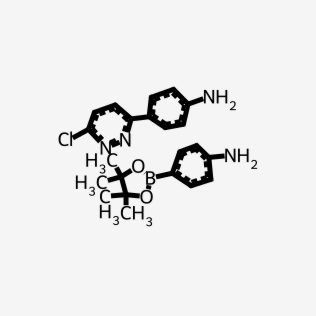 CC1(C)OB(c2ccc(N)cc2)OC1(C)C.Nc1ccc(-c2ccc(Cl)nn2)cc1